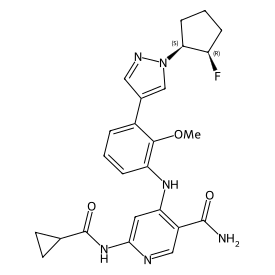 COc1c(Nc2cc(NC(=O)C3CC3)ncc2C(N)=O)cccc1-c1cnn([C@H]2CCC[C@H]2F)c1